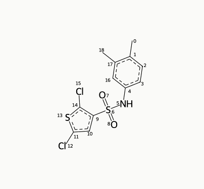 Cc1ccc(NS(=O)(=O)c2cc(Cl)sc2Cl)cc1C